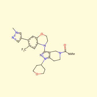 CNC(=O)N1CCc2c(c(N3CCOc4cc(-c5cnn(C)c5)c(C(F)(F)F)cc43)nn2C2CCOCC2)C1